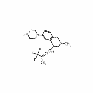 CN1Cc2ccc(N3CCNCC3)cc2C(O)C1.O=C(O)C(F)(F)F